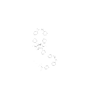 CCCCOC(=O)Nc1ccc(Cc2ccc(N=C=Nc3ccc(Cc4ccc(-n5c(=O)[nH]c(=O)n(-c6ccc(C(C)c7ccc(N=C=Nc8ccc(Cc9ccc(NC(=O)OCCCC)cc9)cc8)cc7)cc6)c5=O)cc4)cc3)cc2)cc1